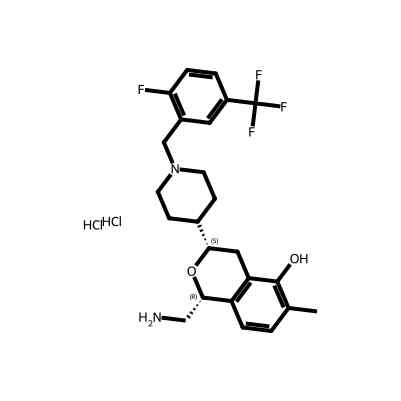 Cc1ccc2c(c1O)C[C@@H](C1CCN(Cc3cc(C(F)(F)F)ccc3F)CC1)O[C@H]2CN.Cl.Cl